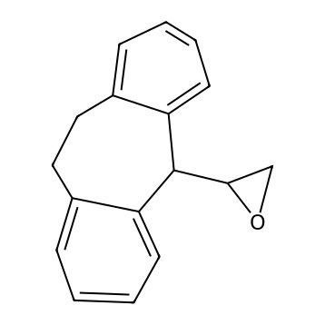 c1ccc2c(c1)CCc1ccccc1C2C1CO1